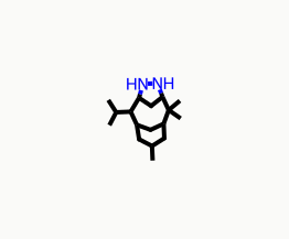 CC1CC2CC(C1)C(C)(C)C1CC(NN1)C2C(C)C